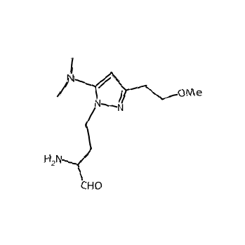 COCCc1cc(N(C)C)n(CCC(N)C=O)n1